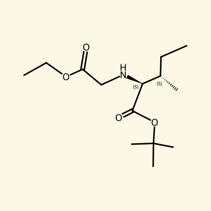 CCOC(=O)CN[C@H](C(=O)OC(C)(C)C)[C@@H](C)CC